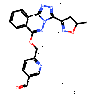 CC1CC(c2nnc3c4ccccc4c(OCc4ccc(C=O)cn4)nn23)=NO1